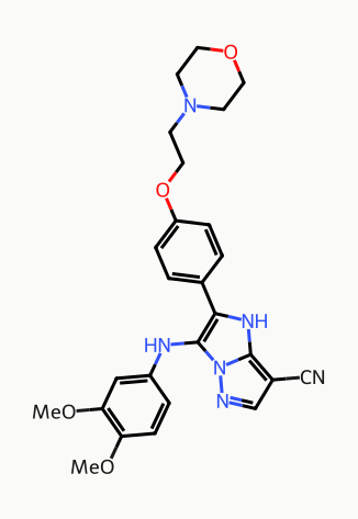 COc1ccc(Nc2c(-c3ccc(OCCN4CCOCC4)cc3)[nH]c3c(C#N)cnn23)cc1OC